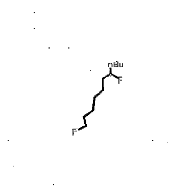 CCCC[C](F)CCCCCCF